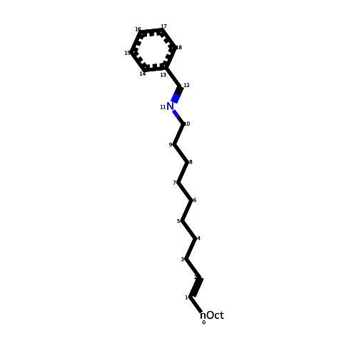 CCCCCCCCC=CCCCCCCCCN=Cc1ccccc1